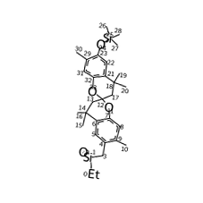 CC[Si](=O)Cc1cc2c(cc1C)OC1(CC2(C)C)CC(C)(C)c2cc(O[Si](C)(C)C)c(C)cc2O1